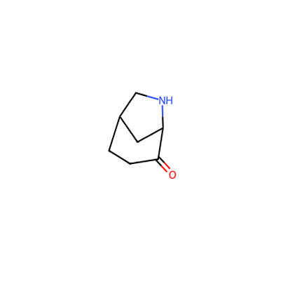 O=C1CCC2CNC1C2